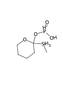 C[SiH2]C1(O[PH](=O)O)CCCCO1